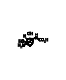 Cl.NC12CCC(NC(=O)O)(CC1)C[C@@H]2O